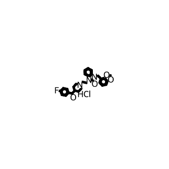 Cl.O=C(c1ccc(F)cc1)C1CCN(CCn2c(=O)n(Cc3cccc4c3OCO4)c3ccccc32)CC1